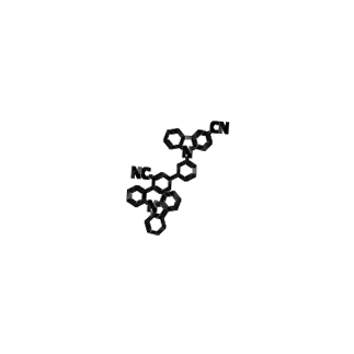 N#CC1=CC(C2C=CC=C(N3c4ccc(C#N)cc4C4C=CC=CC43)C2)CC=C1c1ccccc1-n1c2c(c3ccccc31)CCC=C2